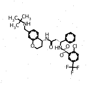 CC(C)(C)NCc1ccc2c(c1)OCC[C@H]2NC(=O)C[C@@H](NS(=O)(=O)c1cc(C(F)(F)F)ccc1Cl)c1ccccc1